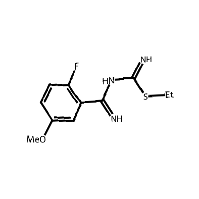 CCSC(=N)NC(=N)c1cc(OC)ccc1F